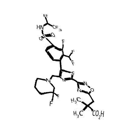 CCC(NS(=O)(=O)c1ccc(-c2sc(-c3noc(CC(C)(C)C(=O)O)n3)nc2CN2CCCC(F)(F)C2)c(C(F)F)c1F)C(F)(F)F